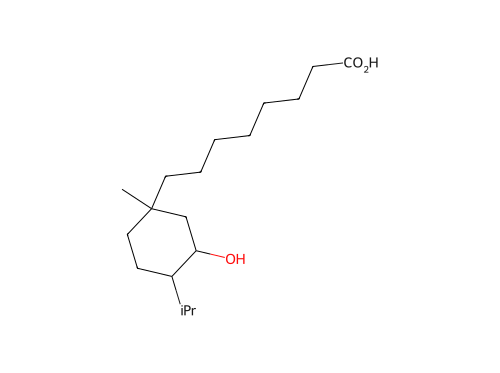 CC(C)C1CCC(C)(CCCCCCCC(=O)O)CC1O